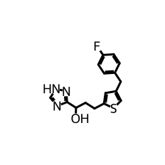 OC(CCc1cc(Cc2ccc(F)cc2)cs1)c1nc[nH]n1